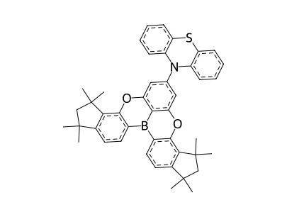 CC1(C)CC(C)(C)c2c1ccc1c2Oc2cc(N3c4ccccc4Sc4ccccc43)cc3c2B1c1ccc2c(c1O3)C(C)(C)CC2(C)C